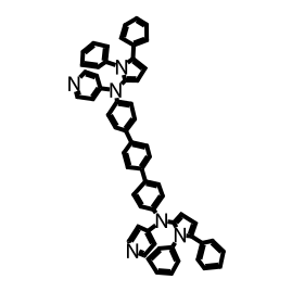 c1ccc(-c2ccc(N(c3ccncc3)c3ccc(-c4ccc(-c5ccc(N(c6ccncc6)c6ccc(-c7ccccc7)n6-c6ccccc6)cc5)cc4)cc3)n2-c2ccccc2)cc1